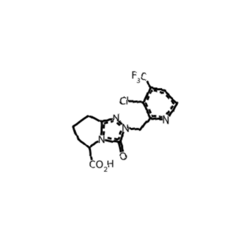 O=C(O)C1CCCc2nn(Cc3nccc(C(F)(F)F)c3Cl)c(=O)n21